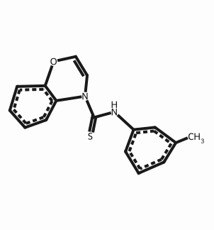 Cc1cccc(NC(=S)N2C=COc3ccccc32)c1